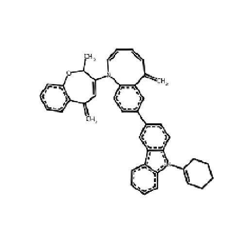 C=C1C=C(N2/C=C\C=C/C(=C)c3cc(-c4ccc5c(c4)c4ccccc4n5C4=CCCCC4)ccc32)C(C)Oc2ccccc21